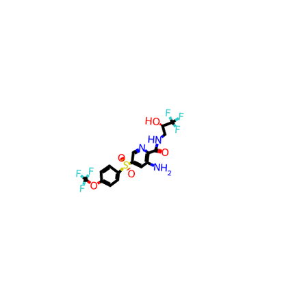 Nc1cc(S(=O)(=O)c2ccc(OC(F)(F)F)cc2)cnc1C(=O)NC[C@@H](O)C(F)(F)F